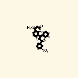 Cc1cc(=O)oc2c1ccc1oc(C(=O)c3cccc([N+](=O)[O-])c3)c(-c3ccccc3)c12